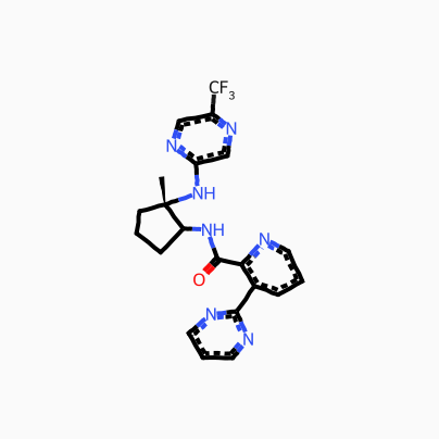 C[C@]1(Nc2cnc(C(F)(F)F)cn2)CCCC1NC(=O)c1ncccc1-c1ncccn1